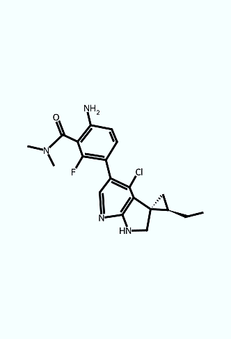 CC[C@@H]1C[C@@]12CNc1ncc(-c3ccc(N)c(C(=O)N(C)C)c3F)c(Cl)c12